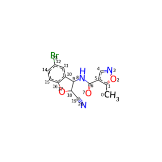 Cc1oncc1C(=O)NC1c2cc(Br)ccc2OC1C#N